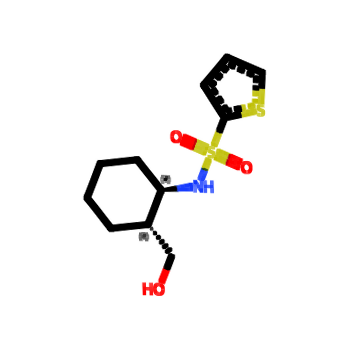 O=S(=O)(N[C@@H]1CCCC[C@H]1CO)c1cccs1